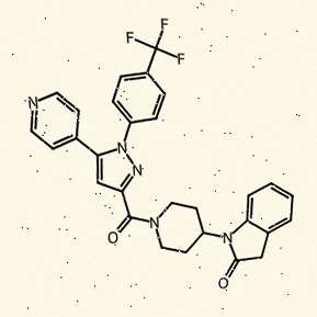 O=C(c1cc(-c2ccncc2)n(-c2ccc(C(F)(F)F)cc2)n1)N1CCC(N2C(=O)Cc3ccccc32)CC1